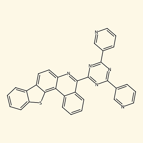 c1cncc(-c2nc(-c3cccnc3)nc(-c3nc4ccc5c6ccccc6sc5c4c4ccccc34)n2)c1